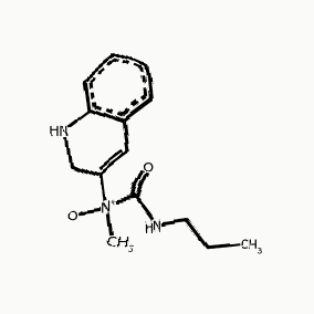 CCCNC(=O)[N+](C)([O-])C1=Cc2ccccc2NC1